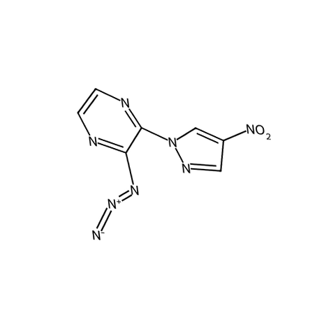 [N-]=[N+]=Nc1nccnc1-n1cc([N+](=O)[O-])cn1